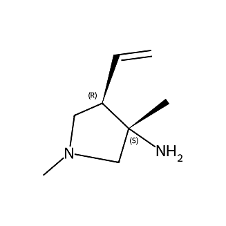 C=C[C@@H]1CN(C)C[C@@]1(C)N